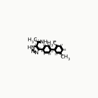 CC(=N)c1[nH]nnc1-c1ccc(-c2cc(C)ccc2C)cc1